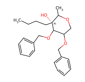 CCCC[C@@]1(O)C(C)OCC(OCc2ccccc2)C1OCc1ccccc1